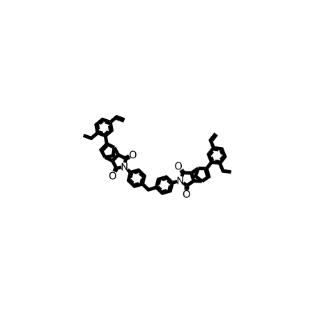 C=Cc1ccc(CC)c(C2=CC3CC2C2C(=O)N(c4ccc(Cc5ccc(N6C(=O)C7C8C=C(c9cc(C=C)ccc9CC)C(C8)C7C6=O)cc5)cc4)C(=O)C32)c1